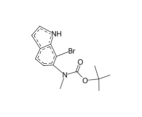 CN(C(=O)OC(C)(C)C)c1ccc2cc[nH]c2c1Br